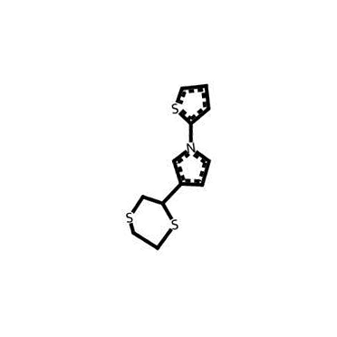 c1csc(-n2ccc(C3CSCCS3)c2)c1